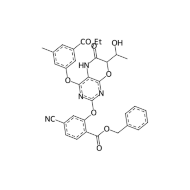 CCOC(=O)c1cc(C)cc(Oc2nc(Oc3cc(C#N)ccc3C(=O)OCc3ccccc3)nc3c2NC(=O)C(C(C)O)O3)c1